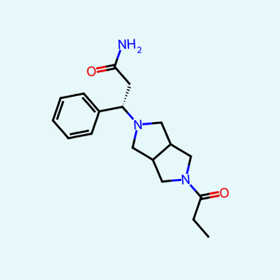 CCC(=O)N1CC2CN([C@@H](CC(N)=O)c3ccccc3)CC2C1